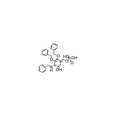 O=P(O)(O)OC[C@H]1C[C@H](O)[C@H](NCc2ccccc2)[C@@H](OCc2ccccc2)[C@@H]1OCc1ccccc1